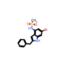 CS(=O)(=O)Nc1cc(Br)cc2[nH]c(Cc3ccccc3)cc12